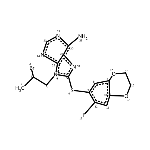 CC(Br)Cn1c(Sc2cc3c(cc2I)OCCO3)nc2c(N)ncnc21